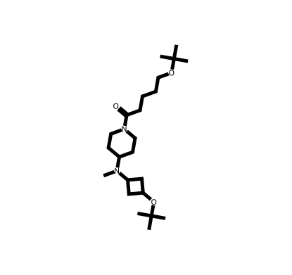 CN(C1CCN(C(=O)CCCCOC(C)(C)C)CC1)C1CC(OC(C)(C)C)C1